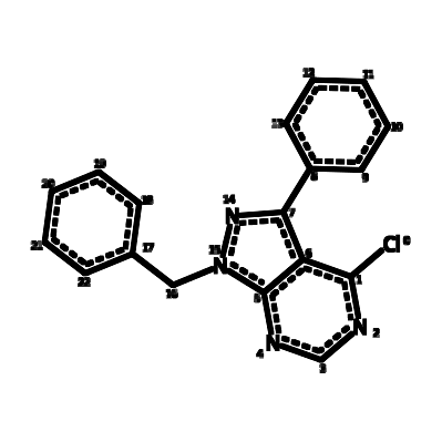 Clc1ncnc2c1c(-c1ccccc1)nn2Cc1ccccc1